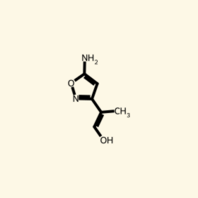 C/C(=C\O)c1cc(N)on1